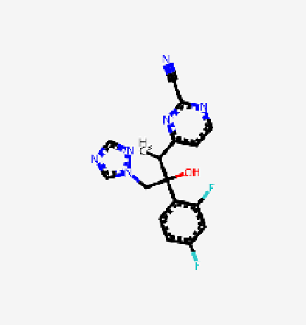 CC(c1ccnc(C#N)n1)C(O)(Cn1cncn1)c1ccc(F)cc1F